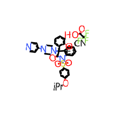 CCOc1ccccc1C1(N2CCN(c3ccncc3)CC2)C(=O)N(S(=O)(=O)c2ccc(OC(C)C)cc2)c2ccc(C#N)cc21.O=C(O)C(F)(F)F